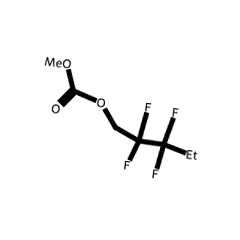 CCC(F)(F)C(F)(F)COC(=O)OC